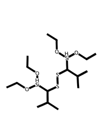 CCO[SiH](OCC)C(SSC(C(C)C)[SiH](OCC)OCC)C(C)C